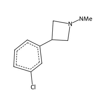 CNN1CC(c2cccc(Cl)c2)C1